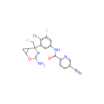 N#Cc1ccc(C(=O)Nc2cc(F)c(Cl)c(C3(CF)N=C(N)OC4CC43)c2)nc1